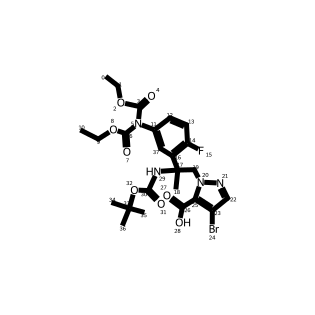 CCOC(=O)N(C(=O)OCC)c1ccc(F)c(C(C)(Cn2ncc(Br)c2C(=O)O)NC(=O)OC(C)(C)C)c1